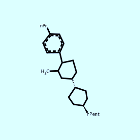 CCCCC[C@H]1CC[C@H](C2CCC(c3ccc(CCC)cc3)C(C)C2)CC1